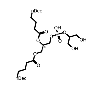 CCCCCCCCCCCCCC(=O)OC[C@H](COP(=O)(O)OC(CO)CO)OC(=O)CCCCCCCCCCCCC